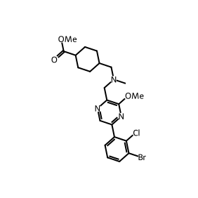 COC(=O)C1CCC(CN(C)Cc2ncc(-c3cccc(Br)c3Cl)nc2OC)CC1